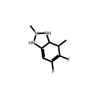 CC1C(F)=C(F)C=C2NN(C)NC21